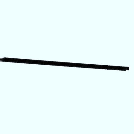 OOOOOOOOOOOOOOOOOOOOOOOOOOOOOOOOOOOOOOOOOOOOOOOOOOOOOOOOOOOOOOOOOOOOOOOOOOOOOOOOOOOOOOOOOOOOOOOOOOOOOOOO